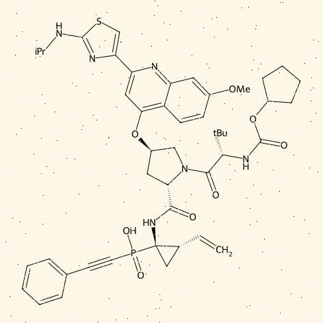 C=C[C@@H]1C[C@]1(NC(=O)[C@@H]1C[C@@H](Oc2cc(-c3csc(NC(C)C)n3)nc3cc(OC)ccc23)CN1C(=O)[C@@H](NC(=O)OC1CCCC1)C(C)(C)C)P(=O)(O)C#Cc1ccccc1